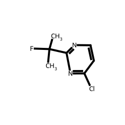 CC(C)(F)c1nccc(Cl)n1